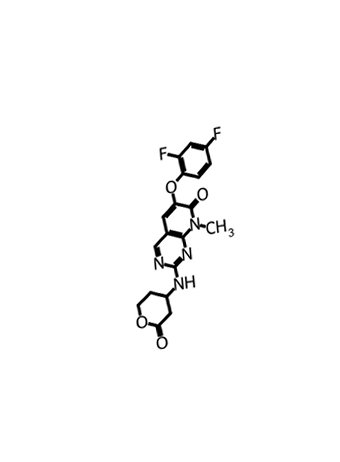 Cn1c(=O)c(Oc2ccc(F)cc2F)cc2cnc(NC3CCOC(=O)C3)nc21